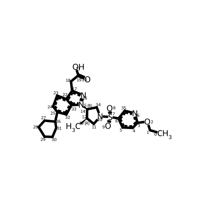 CCOc1ccc(S(=O)(=O)N2C[C@@H](C)[C@@H](n3nc(CC(=O)O)c4ccc(C5CCCCC5)cc43)C2)cn1